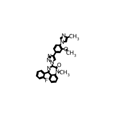 COc1cc(-c2cn(C3N=C(c4ccccc4F)c4ccccc4N(C)C3=O)nn2)ccc1-n1cnc(C)c1